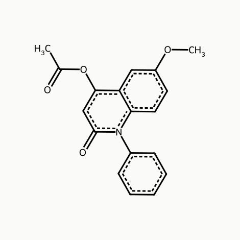 COc1ccc2c(c1)c(OC(C)=O)cc(=O)n2-c1ccccc1